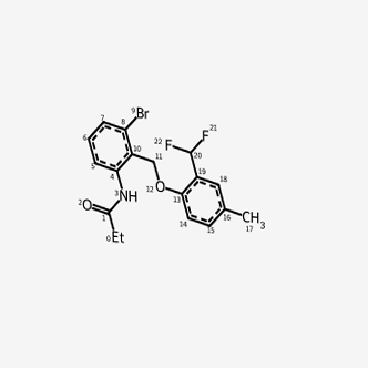 CCC(=O)Nc1cccc(Br)c1COc1ccc(C)cc1C(F)F